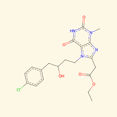 CCOC(=O)Cc1nc2c(c(=O)[nH]c(=O)n2C)n1CCC(O)Cc1ccc(Cl)cc1